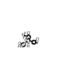 O=C1CN(C(=O)N[C@@H](c2ccc(F)c(Cl)c2)c2ccc(Cl)c(C(F)(F)F)n2)CCN1